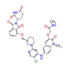 CNC(=O)COc1cc2cc(Nc3nc(N4CCC[C@H](COc5cccc6c5C(=O)N(C5CCC(=O)NC5=O)C6=O)C4)ncc3Cl)ccc2n(C)c1=O